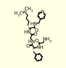 CN(C)CCCC[C@@H](NC(=O)CNC(=O)[C@@H](Cc1ccccc1)NC(=O)CN)C(=O)NCc1ccncc1